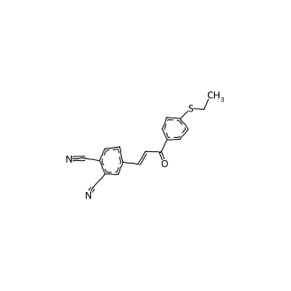 CCSc1ccc(C(=O)C=Cc2ccc(C#N)c(C#N)c2)cc1